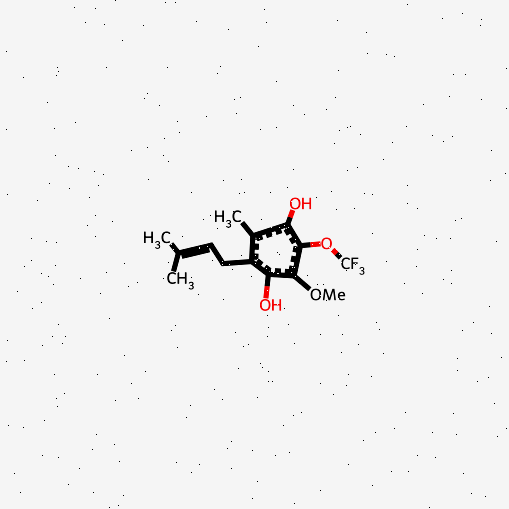 COc1c(O)c(CC=C(C)C)c(C)c(O)c1OC(F)(F)F